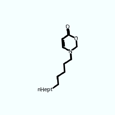 CCCCCCCCCCCCN1C=CC(=O)OC1